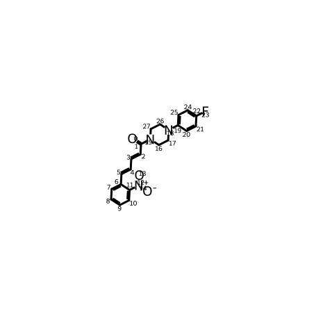 O=C(C=CC=Cc1ccccc1[N+](=O)[O-])N1CCN(c2ccc(F)cc2)CC1